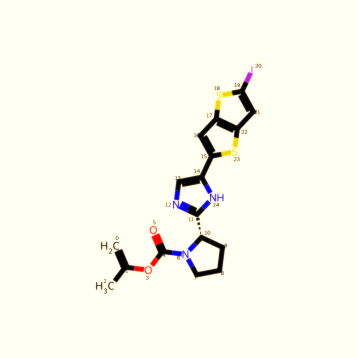 C=C(C)OC(=O)N1CCC[C@H]1c1ncc(-c2cc3sc(I)cc3s2)[nH]1